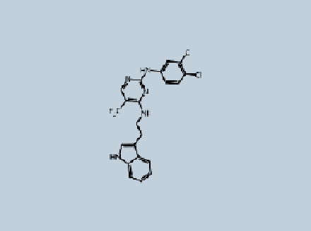 FC(F)(F)c1cnc(Nc2ccc(Cl)c(Cl)c2)nc1NCCc1c[nH]c2ccccc12